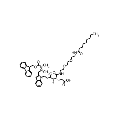 CCCCCCCCC(=O)NCCOCCOCCNC(=O)[C@H](CCC(=O)O)NC(=O)CCn1c(CN(C)N(C)C(=O)OCC2c3ccccc3-c3ccccc32)cc2ccccc21